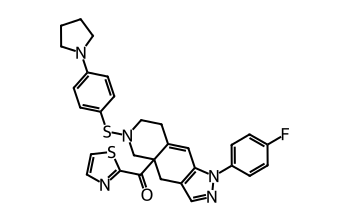 O=C(c1nccs1)C12Cc3cnn(-c4ccc(F)cc4)c3C=C1CCN(Sc1ccc(N3CCCC3)cc1)C2